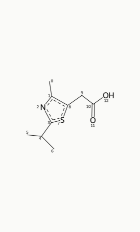 Cc1nc(C(C)C)sc1CC(=O)O